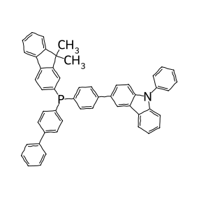 CC1(C)c2ccccc2-c2ccc(P(c3ccc(-c4ccccc4)cc3)c3ccc(-c4ccc5c(c4)c4ccccc4n5-c4ccccc4)cc3)cc21